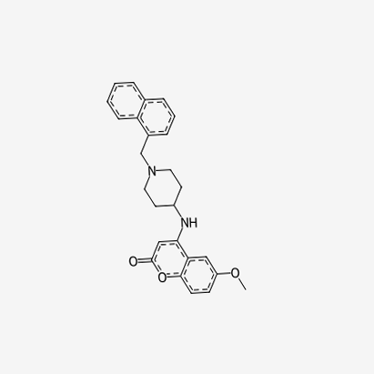 COc1ccc2oc(=O)cc(NC3CCN(Cc4cccc5ccccc45)CC3)c2c1